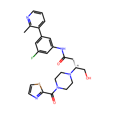 Cc1ncccc1-c1cc(F)cc(NC(=O)C[C@H](CO)N2CCN(C(=O)c3nccs3)CC2)c1